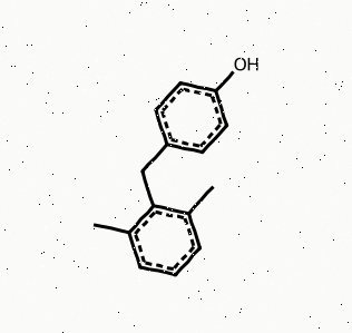 Cc1cccc(C)c1Cc1ccc(O)cc1